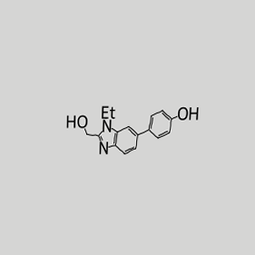 CCn1c(CO)nc2ccc(-c3ccc(O)cc3)cc21